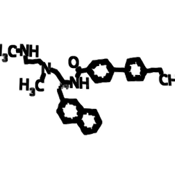 CCc1ccc(-c2ccc(C(=O)N[C@H](Cc3ccc4ccccc4c3)CN(C)CCNC)cc2)cc1